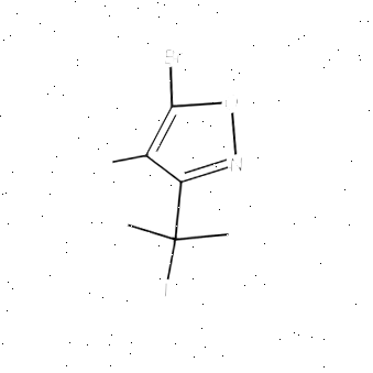 Cc1c(C(C)(C)I)noc1Br